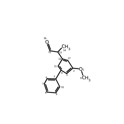 COc1cc(-c2ccccc2)cc(C(C)C=O)c1